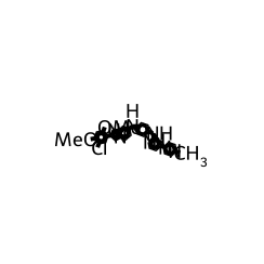 COc1cc(OC)c(-c2cn3ccc(NC4CCC(Nc5nccc(N6CCN(C)CC6)n5)CC4)cc3n2)cc1Cl